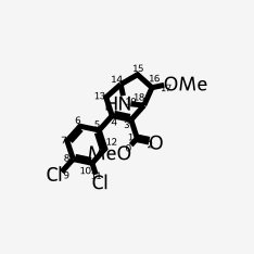 COC(=O)C1=C(c2ccc(Cl)c(Cl)c2)CC2CC(OC)C1N2